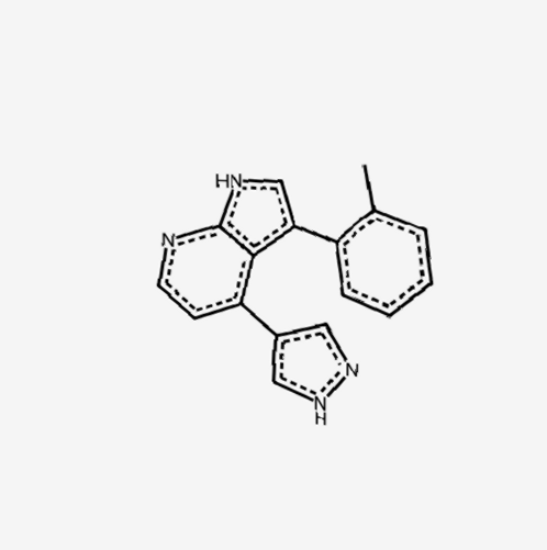 Cc1ccccc1-c1c[nH]c2nccc(-c3cn[nH]c3)c12